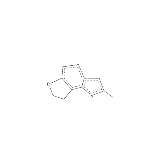 Cc1cc2ccc3c(c2s1)CCO3